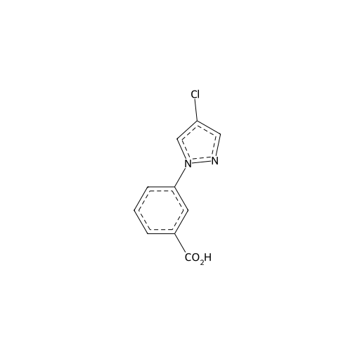 O=C(O)c1cccc(-n2cc(Cl)cn2)c1